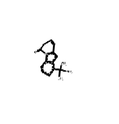 CC(C)(N)c1cccc2c1cc1n2C(=O)CC=C1